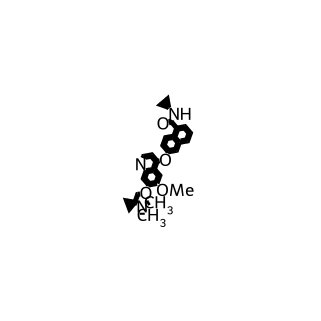 COc1cc2c(Oc3ccc4c(C(=O)NC5CC5)cccc4c3)ccnc2cc1OCC1(N(C)C)CC1